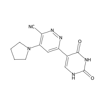 N#Cc1nnc(-c2c[nH]c(=O)[nH]c2=O)cc1N1CCCC1